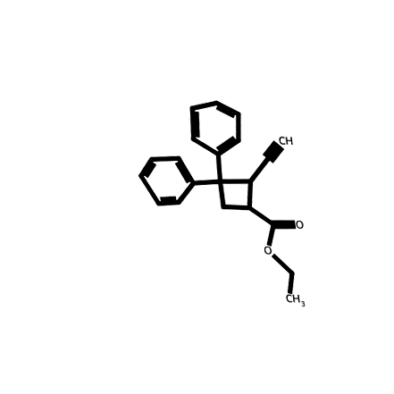 C#CC1C(C(=O)OCC)CC1(c1ccccc1)c1ccccc1